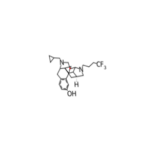 Oc1ccc2c(c1)C13CCN(CC4CC4)C(C2)C12CCC1C3[C@@H](CN1CCCC(F)(F)F)C2